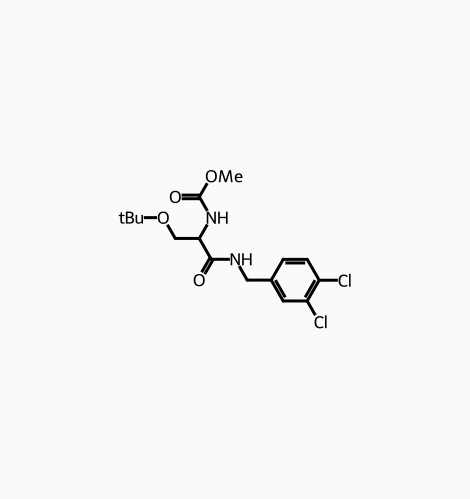 COC(=O)NC(COC(C)(C)C)C(=O)NCc1ccc(Cl)c(Cl)c1